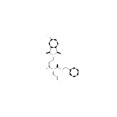 CC(C)CCN(C(=O)NCc1ccccc1)[C@H](CCN1C(=O)c2ccc(O)cc2C1=O)C(=O)O